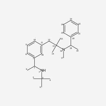 CC(NC(C)(C)C)c1cccc(CC(C)(C)N(C)C(C)c2ccccc2)c1